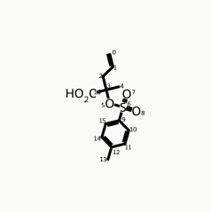 C=CCC(C)(OS(=O)(=O)c1ccc(C)cc1)C(=O)O